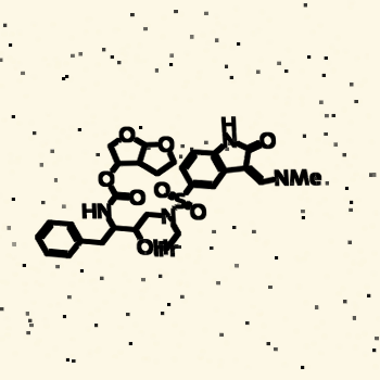 CNC=C1C(=O)Nc2ccc(S(=O)(=O)N(CC(C)C)CC(O)C(Cc3ccccc3)NC(=O)OC3COC4OCCC34)cc21